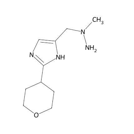 CN(N)Cc1cnc(C2CCOCC2)[nH]1